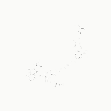 CNC(=O)[C@H](CCCNC(N)=O)NC(=O)[C@@H](NC(=O)CCOCCOCCNC(=O)[C@H](CCC(=O)O)NC(=O)CCn1c(CN(C)NC)cc2ccccc21)C(C)C